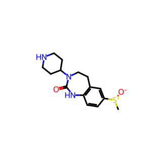 C[S+]([O-])c1ccc2c(c1)CCN(C1CCNCC1)C(=O)N2